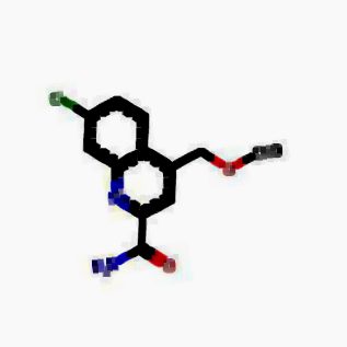 NC(=O)c1cc(COC=O)c2ccc(Cl)cc2n1